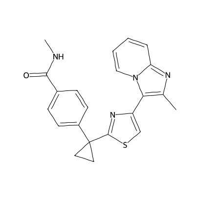 CNC(=O)c1ccc(C2(c3nc(-c4c(C)nc5ccccn45)cs3)CC2)cc1